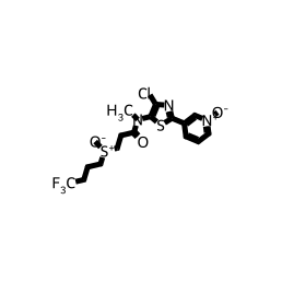 CN(C(=O)CC[S+]([O-])CCCC(F)(F)F)c1sc(-c2ccc[n+]([O-])c2)nc1Cl